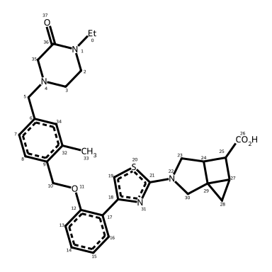 CCN1CCN(Cc2ccc(COc3ccccc3-c3csc(N4CC5C(C(=O)O)C6CC56C4)n3)c(C)c2)CC1=O